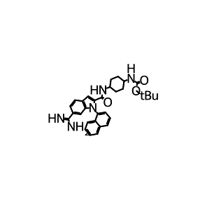 CC(C)(C)OC(=O)NC1CCC(NC(=O)c2cc3ccc(C(=N)N)cc3n2-c2cccc3ccccc23)CC1